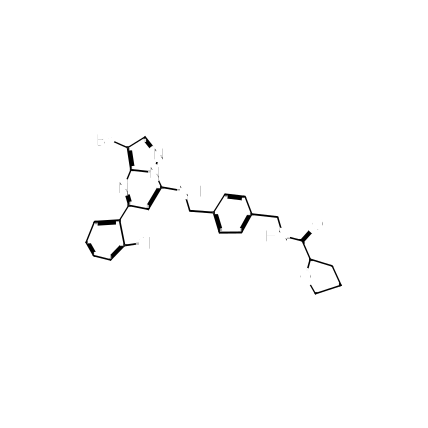 O=C(NCc1ccc(CNc2cc(-c3ccccc3Cl)nc3c(Br)cnn23)cc1)C1CCCO1